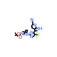 CC(C)(C)OC(=O)N1CC2(CC[C@H]2Nc2ncc(C(F)(F)F)c(-c3c[nH]c4nc(C#N)ccc34)n2)C1